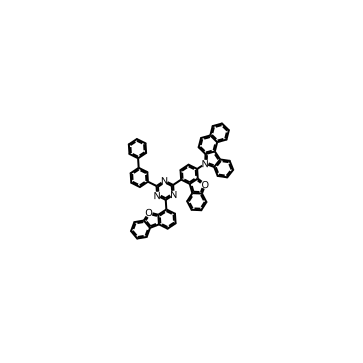 c1ccc(-c2cccc(-c3nc(-c4cccc5c4oc4ccccc45)nc(-c4ccc(-n5c6ccccc6c6c7ccccc7ccc65)c5oc6ccccc6c45)n3)c2)cc1